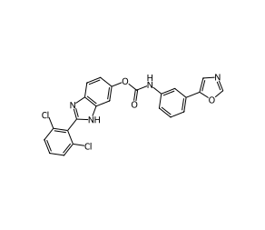 O=C(Nc1cccc(-c2cnco2)c1)Oc1ccc2nc(-c3c(Cl)cccc3Cl)[nH]c2c1